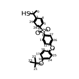 CC(S)c1ccc(S(=O)(=O)c2ccc(Oc3ccc(OC(C)(C)C)cc3)cc2)cc1